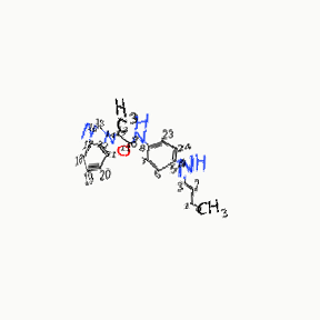 CCCCNc1ccc(NC(=O)C(C)n2cnc3ccccc32)cc1